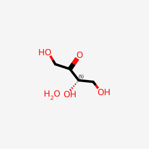 O.O=C(CO)[C@@H](O)CO